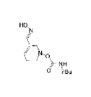 CCCCNC(=O)ON1CCC=C(C=NO)C1